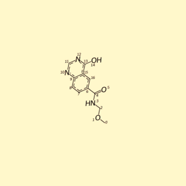 COCNC(=O)c1ccc2ncnc(O)c2c1